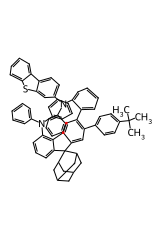 CC(C)(C)c1ccc(-c2cc3c(cc2-c2ccccc2N(c2ccccc2)c2ccc4c(c2)sc2ccccc24)-c2c(N(c4ccccc4)c4ccccc4)cccc2C32C3CC4CC(C3)CC2C4)cc1